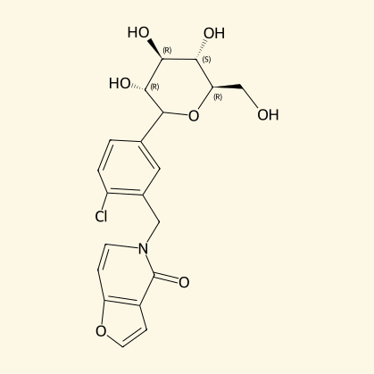 O=c1c2ccoc2ccn1Cc1cc(C2O[C@H](CO)[C@@H](O)[C@H](O)[C@H]2O)ccc1Cl